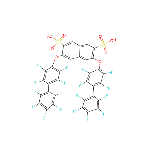 O=S(=O)(O)c1cc2cc(S(=O)(=O)O)c(Oc3c(F)c(F)c(-c4c(F)c(F)c(F)c(F)c4F)c(F)c3F)cc2cc1Oc1c(F)c(F)c(-c2c(F)c(F)c(F)c(F)c2F)c(F)c1F